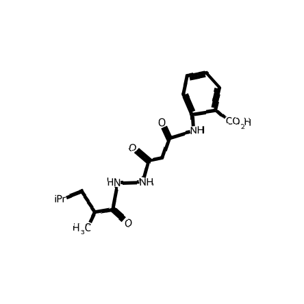 CC(C)CC(C)C(=O)NNC(=O)CC(=O)Nc1ccccc1C(=O)O